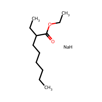 CCCCCCC(CC)C(=O)OCC.[NaH]